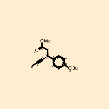 CC#C[C@@H](CC(=O)OC)c1ccc(OCC(C)C)cc1